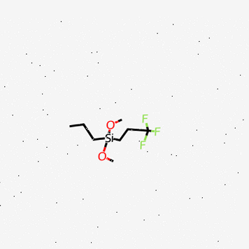 CCC[Si](CCC(F)(F)F)(OC)OC